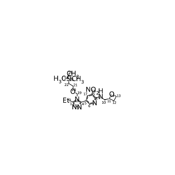 CCc1nnc(-c2cnc(NC[C@@H]3CCO3)c([N+](=O)[O-])c2)n1COCC[Si](C)(C)C